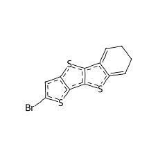 Brc1cc2sc3c4c(sc3c2s1)=CCCC=4